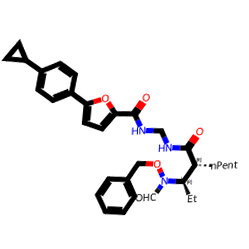 CCCCC[C@@H](C(=O)NCNC(=O)c1ccc(-c2ccc(C3CC3)cc2)o1)[C@@H](CC)N(C=O)OCc1ccccc1